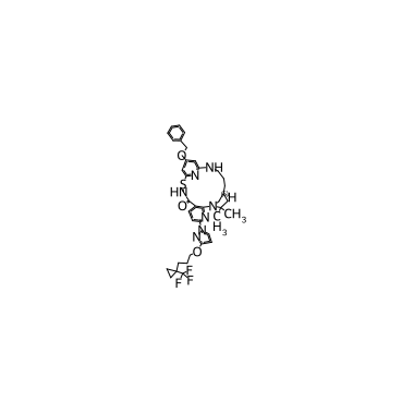 CC1(C)C[C@@H]2CCCNc3cc(OCc4ccccc4)cc(n3)SNC(=O)c3ccc(-n4ccc(OCCCC5(C(F)(F)F)CC5)n4)nc3N1C2